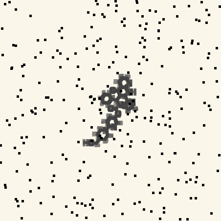 O=C(NC(c1ccccc1)c1c(-c2ncco2)[nH]c2ncccc2c1=O)Oc1ccc(N2CCC(CO)CC2)nc1